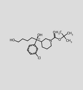 CC(C)(C)OC(=O)N1CCCC([C@@](O)(CCCCO)c2cccc(Cl)c2)C1